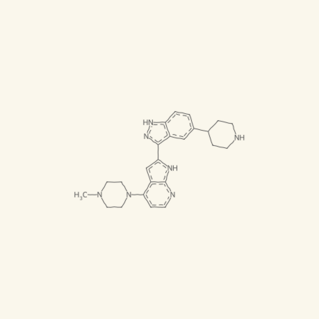 CN1CCN(c2ccnc3[nH]c(-c4n[nH]c5ccc(C6CCNCC6)cc45)cc23)CC1